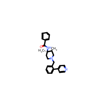 C[C@@H]1CN(Cc2ccccc2-c2ccncc2)CC[C@@]1(C)NC(=O)c1ccccc1